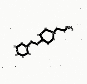 NCCN1CCC(CCN2CCCCC2)CC1